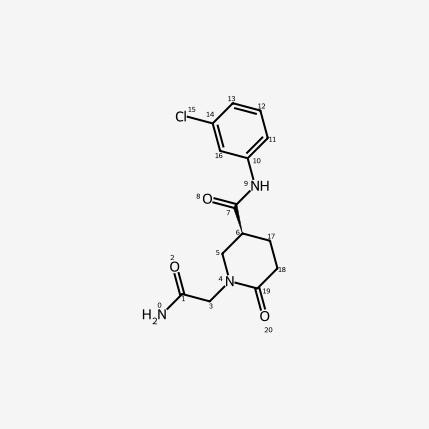 NC(=O)CN1C[C@@H](C(=O)Nc2cccc(Cl)c2)CCC1=O